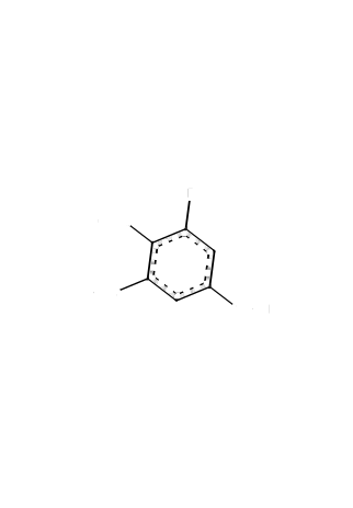 O=Cc1c(F)cc(S(=O)(=O)O)cc1S(=O)(=O)O